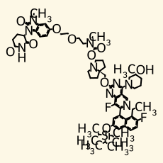 CCc1c(F)ccc2cc(O[Si](C(C)C)(C(C)C)C(C)C)cc(-c3ncc4c(N5CCC[C@@](C)(O)C5)nc(OC[C@@]56CCCN5[C@@H](OC(=O)N(C)CCOCCOc5ccc7c(c5)n(C)c(=O)n7C5CCC(=O)NC5=O)CC6)nc4c3F)c12